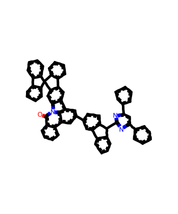 O=c1c2ccccc2c2cc(-c3ccc4c(c3)-c3ccccc3C4c3nc(-c4ccccc4)cc(-c4ccccc4)n3)cc3c4cc5c(cc4n1c23)C1(c2ccccc2-c2ccccc21)c1ccccc1-5